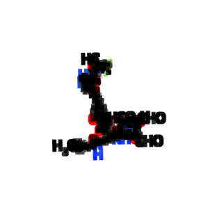 C#C[C@H]1CC(F)(F)CN1C(=O)CNC(=O)c1ccnc2ccc(OCCCCC3CCN(C(=O)[C@H](C)CN4C(=O)CC(SCC(CCCCNC(=O)CCCc5ccc(C)cc5)NC(=O)CN5CCN(COC=O)CCN(COC=O)CCN(CC(=O)O)CC5)C4=O)CC3)cc12